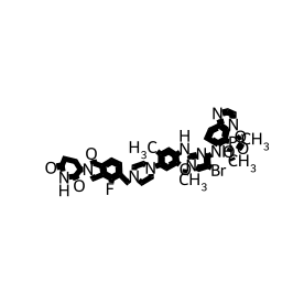 COc1cc(N2CCN(Cc3ccc4c(c3F)CN(C3CCC(=O)NC3=O)C4=O)CC2)c(C)cc1Nc1ncc(Br)c(Nc2ccc3nccnc3c2P(=O)(OC)OC)n1